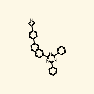 C1=NC=C1c1ccc(-c2ccc3ccc(-c4nc(-c5ccccc5)nc(-c5ccccc5)n4)cc3c2)cc1